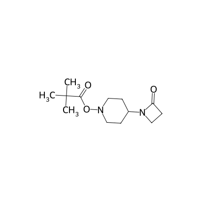 CC(C)(C)C(=O)ON1CCC(N2CCC2=O)CC1